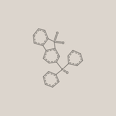 O=P(c1ccccc1)(c1ccccc1)c1ccc2c(c1)S(=O)(=O)c1ccccc1-2